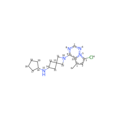 Cc1cc(Cl)n2ncnc(N3CC4(CC(NC5CCCC5)C4)C3)c12